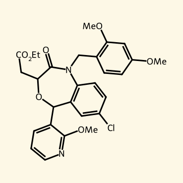 CCOC(=O)CC1OC(c2cccnc2OC)c2cc(Cl)ccc2N(Cc2ccc(OC)cc2OC)C1=O